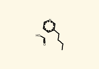 CCCCc1cccnc1.O=CO